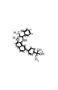 CC(C)C(Nc1c(Cl)cnc2ccc(-c3cnc(C(C)(C)O)nc3)cc12)c1ccccc1F